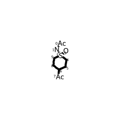 CC(=O)N=S1(=O)CCC(C(C)=O)CC1